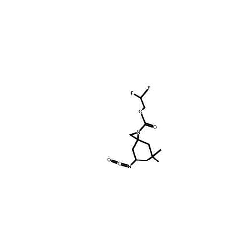 CC1(C)CC(N=C=O)CC2(CN2C(=O)OCC(F)F)C1